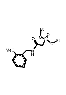 CCOP(=O)(CC(=O)NCc1ccccc1OC)OCC